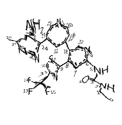 CCNC(=O)Nc1cc(-c2nc(C(F)(F)F)cs2)c(-c2cncc(-c3nnc(C)n3N)c2)cn1